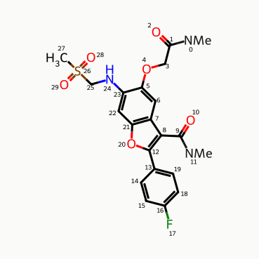 CNC(=O)COc1cc2c(C(=O)NC)c(-c3ccc(F)cc3)oc2cc1NCS(C)(=O)=O